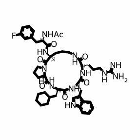 CC(=O)N[C@@H](Cc1cccc(F)c1)C(=O)N[C@H]1CCCNC(=O)[C@H](CCCNC(=N)N)NC(=O)[C@H](Cc2c[nH]c3ccccc23)NC(=O)[C@@H](CC2CCCCC2)NC(=O)[C@@H]2CCCN2C1=O